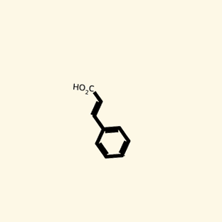 O=C(O)C=Cc1cc[c]cc1